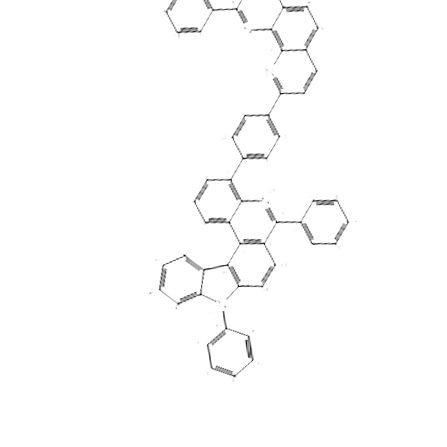 c1ccc(-c2ccc3ccc4ccc(-c5ccc(-c6cccc7c6nc(-c6ccccc6)c6ccc8c(c9ccccc9n8-c8ccccc8)c67)cc5)nc4c3n2)cc1